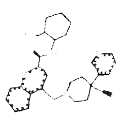 N#CC1(c2cccnc2)CCN(Cc2cc(C(=O)NC3CCCCC3O)nc3ccccc23)CC1